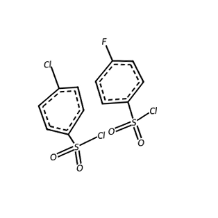 O=S(=O)(Cl)c1ccc(Cl)cc1.O=S(=O)(Cl)c1ccc(F)cc1